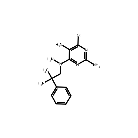 CC(N)(CN(N)c1nc(N)nc(O)c1N)c1ccccc1